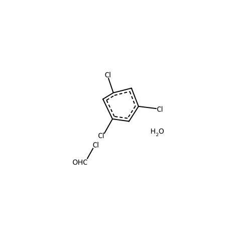 Clc1cc(Cl)cc(Cl)c1.O.O=CCl